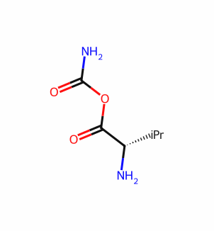 CC(C)[C@H](N)C(=O)OC(N)=O